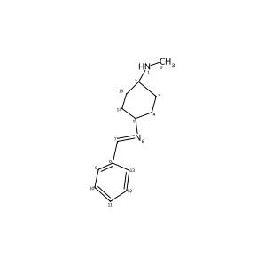 CNC1CCC(N=Cc2ccccc2)CC1